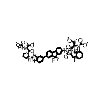 COC(=O)NC(C(=O)N1[C@H](C(=O)Nc2ccc3c(c2)C(F)(F)c2cc(-c4ccc5[nH]c([C@@H]6CCCN6C(=O)[C@@H](NC(=O)OC)[C@@H](C)OC)nc5c4)ccc2-3)C[C@@H]2CCCC[C@@H]21)[C@@H](C)OC